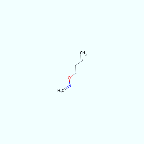 C=CCCON=C